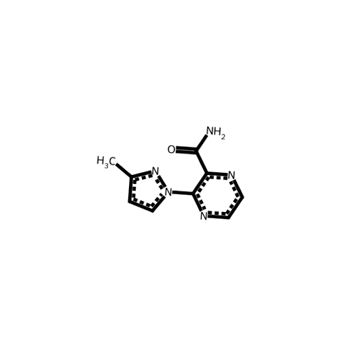 Cc1ccn(-c2nccnc2C(N)=O)n1